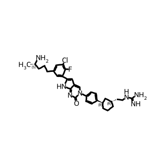 C[C@H](N)CCCc1cc(Cl)c(F)c(-c2cc3cn(-c4ccc([C@@H]5CCC[C@@H](CCNC(=N)N)C5)cc4)c(=O)nc3[nH]2)c1